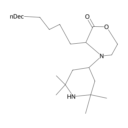 CCCCCCCCCCCCCCC1C(=O)OCCN1C1CC(C)(C)NC(C)(C)C1